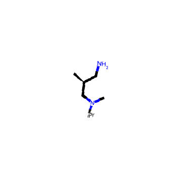 CC(C)N(C)C[C@@H](C)CN